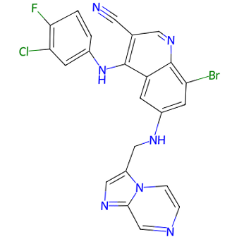 N#Cc1cnc2c(Br)cc(NCc3cnc4cnccn34)cc2c1Nc1ccc(F)c(Cl)c1